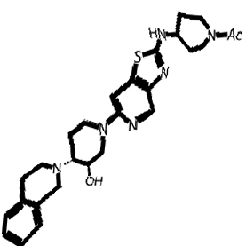 CC(=O)N1CCC(Nc2nc3cnc(N4CC[C@@H](N5CCc6ccccc6C5)[C@H](O)C4)cc3s2)CC1